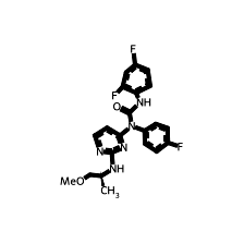 COC[C@H](C)Nc1nccc(N(C(=O)Nc2ccc(F)cc2F)c2ccc(F)cc2)n1